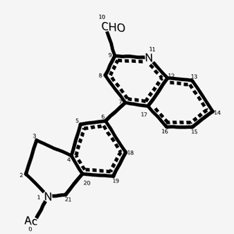 CC(=O)N1CCc2cc(-c3cc(C=O)nc4ccccc34)ccc2C1